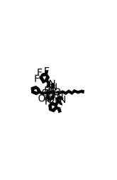 C=CCCCCCCCO[C@@H]1[C@@H](n2cc(-c3cc(F)c(F)c(F)c3)nn2)[C@H]2OC(c3ccccc3)OC[C@H]2O[C@H]1c1nncn1-c1ccccc1C=C